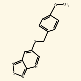 COc1ccc(CSc2cnc3nsnc3c2)cc1